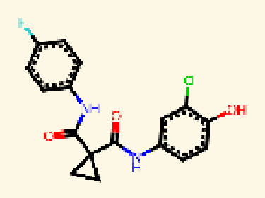 O=C(Nc1ccc(F)cc1)C1(C(=O)Nc2ccc(O)c(Cl)c2)CC1